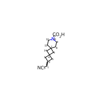 N#CC=C1CC2(C1)CC1(CCN(C(=O)O)CC1)C2